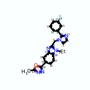 CCn1c(Cn2ccnc2-c2cccc(F)c2)nc2cc(-c3nnc(C)o3)ccc21